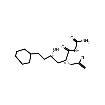 C=C(Cl)C[C@H](C[C@@H](O)[CH]CC1CCCCC1)C(=O)NC(N)=O